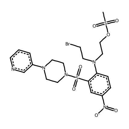 CS(=O)(=O)OCCN(CCBr)c1ccc([N+](=O)[O-])cc1S(=O)(=O)N1CCN(c2cccnc2)CC1